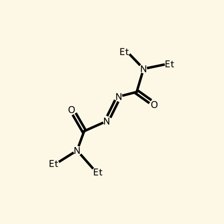 CCN(CC)C(=O)N=NC(=O)N(CC)CC